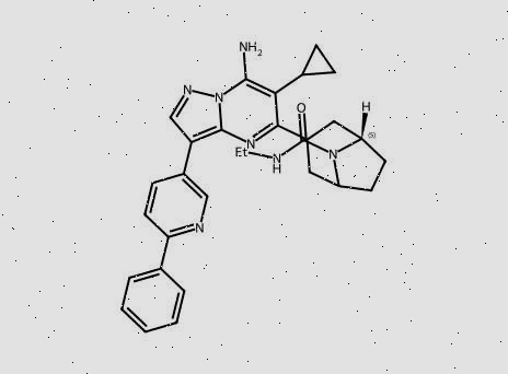 CCNC(=O)N1C2CC[C@H]1CC(c1nc3c(-c4ccc(-c5ccccc5)nc4)cnn3c(N)c1C1CC1)C2